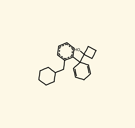 OC1(C2(c3ccccc3CC3CCCCC3)C=C[CH]C=C2)CCC1